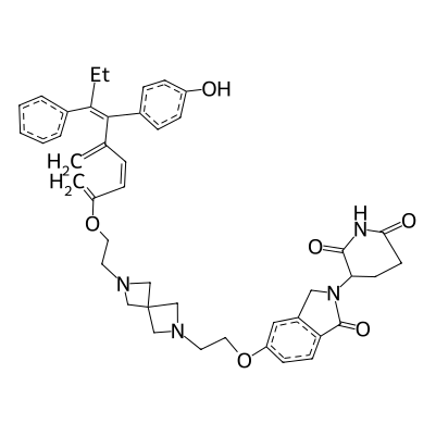 C=C(/C=C\C(=C)/C(=C(/CC)c1ccccc1)c1ccc(O)cc1)OCCN1CC2(C1)CN(CCOc1ccc3c(c1)CN(C1CCC(=O)NC1=O)C3=O)C2